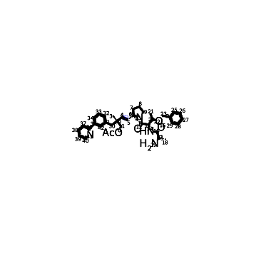 CC(=O)OC[C@@](C)(/C=C/[C@@H]1CCCN1C(=O)C(NC(=O)[C@H](C)N)C(C)OCc1ccccc1)Cc1cccc(-c2ccccn2)c1